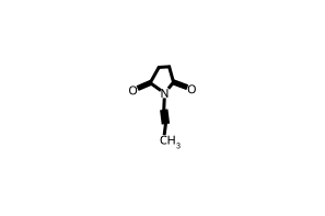 CC#CN1C(=O)CCC1=O